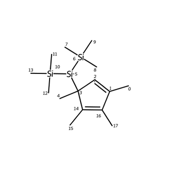 CC1=[C]C(C)([Si]([Si](C)(C)C)[Si](C)(C)C)C(C)=C1C